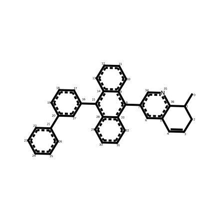 CC1CC=Cc2cc(-c3c4ccccc4c(-c4cccc(-c5ccccc5)c4)c4ccccc34)cnc21